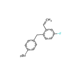 C=Cc1cc(F)ccc1Cc1ccc(CCCC)cc1